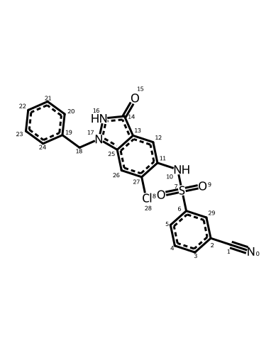 N#Cc1cccc(S(=O)(=O)Nc2cc3c(=O)[nH]n(Cc4ccccc4)c3cc2Cl)c1